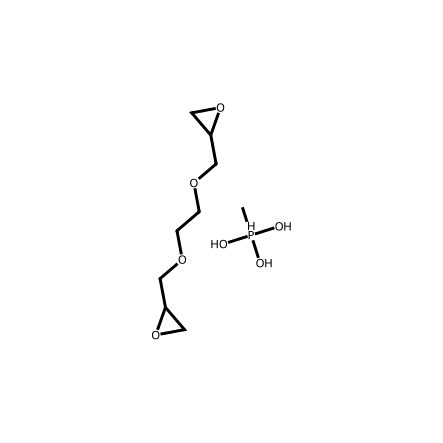 C(COCC1CO1)OCC1CO1.C[PH](O)(O)O